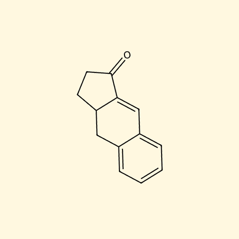 O=C1CCC2Cc3ccccc3C=C12